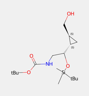 CC(C)(C)OC(=O)NCC(O[Si](C)(C)C(C)(C)C)[C@H]1C[C@@H]1CO